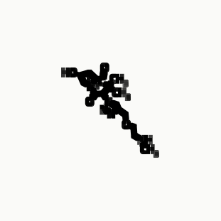 CNCCOCc1cn(C(C(=O)N2C[C@H](O)C[C@H]2C=O)C(C)(C)C)nn1